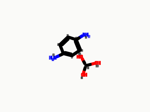 Nc1ccc(N)cc1.OB(O)O